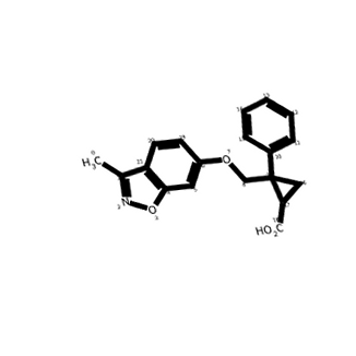 Cc1noc2cc(OCC3(c4ccccc4)CC3C(=O)O)ccc12